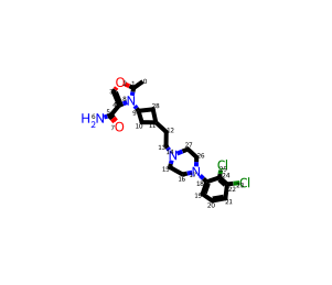 CC1OC=C(C(N)=O)N1C1CC(CCN2CCN(c3cccc(Cl)c3Cl)CC2)C1